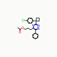 CC(=O)OCCCc1nc(C2(c3ccc(Cl)cc3)CCC2)nnc1-c1ccccc1